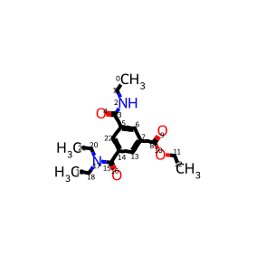 CCNC(=O)c1cc(C(=O)OCC)cc(C(=O)N(CC)CC)c1